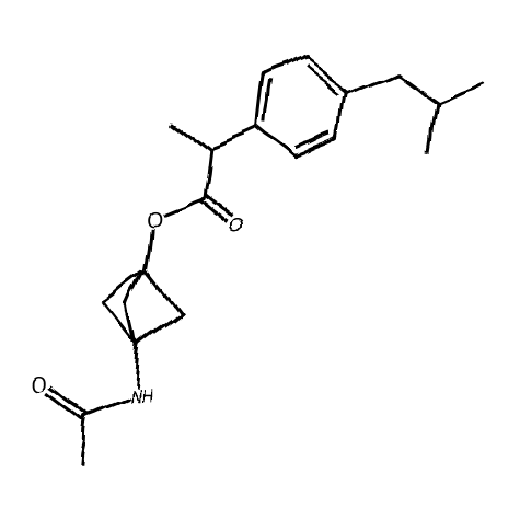 CC(=O)NC12CC(OC(=O)C(C)c3ccc(CC(C)C)cc3)(C1)C2